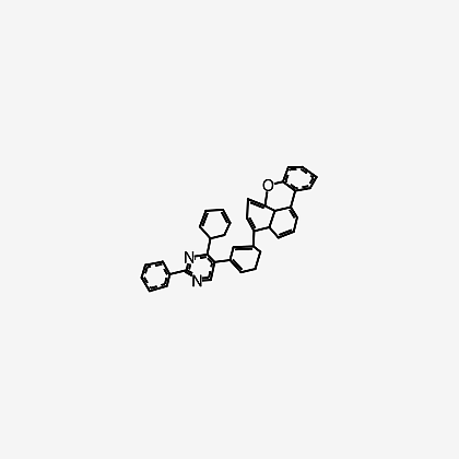 C1=CCC(c2nc(-c3ccccc3)ncc2C2=CCCC(C3=CC=C4Oc5ccccc5C5=CC=CC3C45)=C2)C=C1